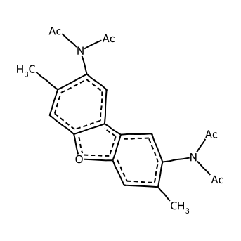 CC(=O)N(C(C)=O)c1cc2c(cc1C)oc1cc(C)c(N(C(C)=O)C(C)=O)cc12